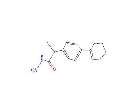 CC(C(=O)NN)c1ccc(C2=CCCCC2)cc1